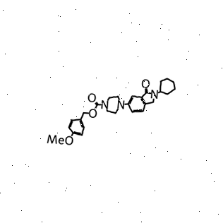 COc1ccc(COC(=O)N2CCN(c3ccc4c(c3)C(=O)N(C3CCCCC3)C4)CC2)cc1